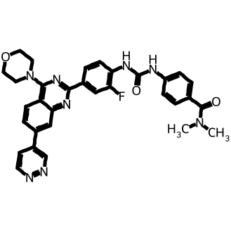 CN(C)C(=O)c1ccc(NC(=O)Nc2ccc(-c3nc(N4CCOCC4)c4ccc(-c5ccnnc5)cc4n3)cc2F)cc1